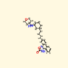 O=c1[nH]c(-c2ccccc2-c2ccc(CCCCC3CCC[C](NC4CCOCC4)C3)cc2)no1